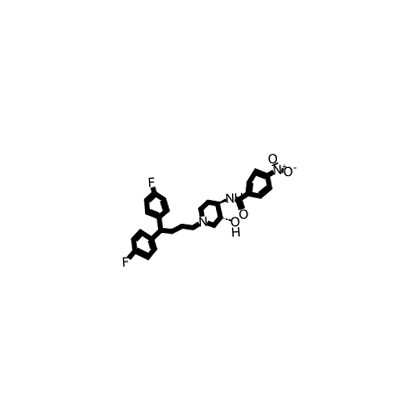 O=C(N[C@@H]1CCN(CCCC(c2ccc(F)cc2)c2ccc(F)cc2)C[C@H]1O)c1ccc([N+](=O)[O-])cc1